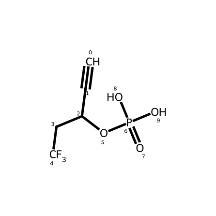 C#CC(CC(F)(F)F)OP(=O)(O)O